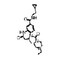 CCN1CCN(C(=O)N2c3ccc(C(=O)NCCC4CC4)cc3NC(=O)C[C@@H]2C)CC1